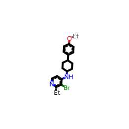 CCOc1ccc(C2CCC(Nc3ccnc(CC)c3Br)CC2)cc1